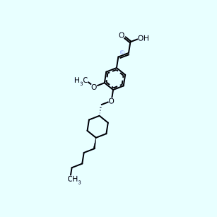 CCCCC[C@H]1CC[C@H](COc2ccc(/C=C/C(=O)O)cc2OC)CC1